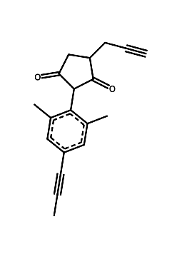 C#CCC1CC(=O)C(c2c(C)cc(C#CC)cc2C)C1=O